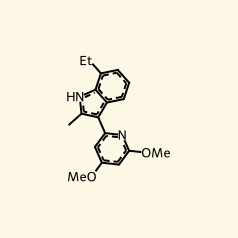 CCc1cccc2c(-c3cc(OC)cc(OC)n3)c(C)[nH]c12